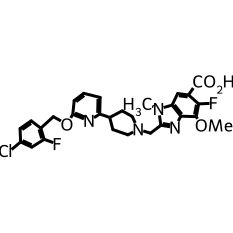 COc1c(F)c(C(=O)O)cc2c1nc(CN1CCC(c3cccc(OCc4ccc(Cl)cc4F)n3)CC1)n2C